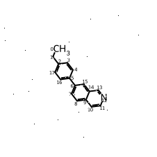 CCc1ccc(-c2ccc3ccncc3c2)cc1